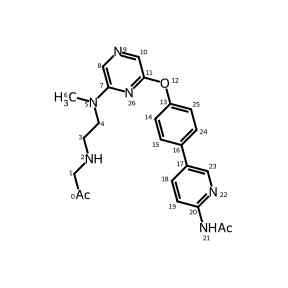 CC(=O)CNCCN(C)c1cncc(Oc2ccc(-c3ccc(NC(C)=O)nc3)cc2)n1